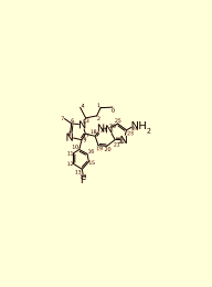 CCCC(C)n1c(C)nc(-c2ccc(F)cc2)c1-c1ccc2nc(N)cn2n1